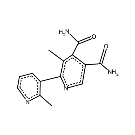 Cc1ncccc1-c1ncc(C(N)=O)c(C(N)=O)c1C